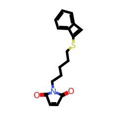 O=C1C=CC(=O)N1CCCCCSC1=Cc2ccccc21